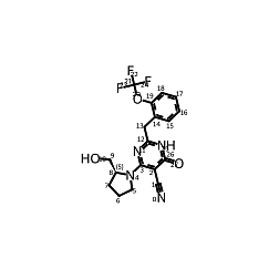 N#Cc1c(N2CCC[C@H]2CO)nc(Cc2ccccc2OC(F)(F)F)[nH]c1=O